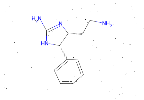 NCC[C@H]1N=C(N)N[C@H]1c1ccccc1